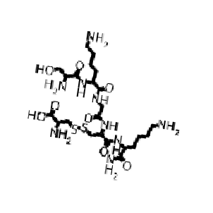 NCCCCC(NC(=O)C(CSSCC(N)C(=O)O)NC(=O)CNC(=O)C(CCCCN)NC(=O)C(N)CO)C(N)=O